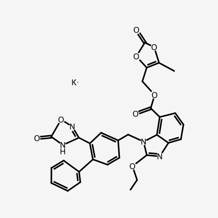 CCOc1nc2cccc(C(=O)OCc3oc(=O)oc3C)c2n1Cc1ccc(-c2ccccc2)c(-c2noc(=O)[nH]2)c1.[K]